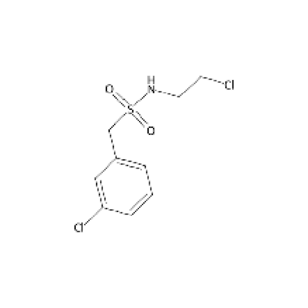 O=S(=O)(Cc1cccc(Cl)c1)NCCCl